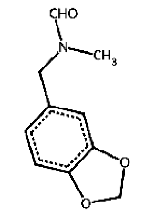 CN(C=O)Cc1ccc2c(c1)OCO2